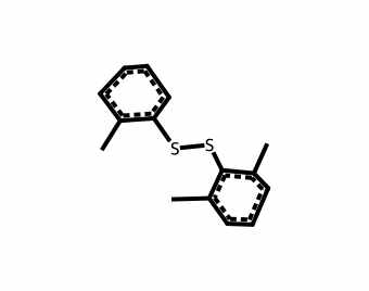 Cc1ccccc1SSc1c(C)cccc1C